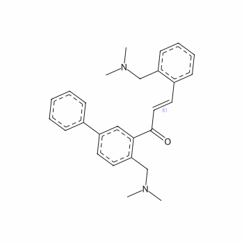 CN(C)Cc1ccccc1/C=C/C(=O)c1cc(-c2ccccc2)ccc1CN(C)C